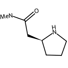 CNC(=O)C[C@@H]1CCCN1